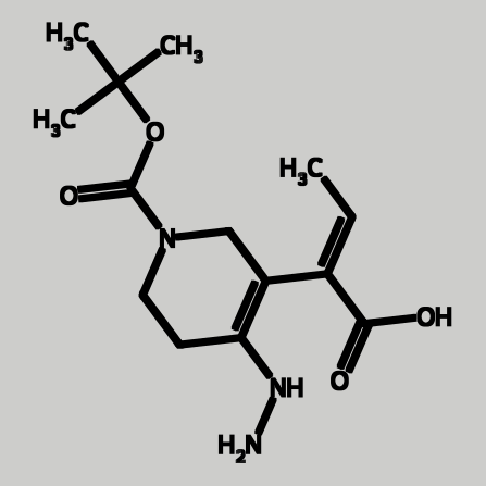 C/C=C(/C(=O)O)C1=C(NN)CCN(C(=O)OC(C)(C)C)C1